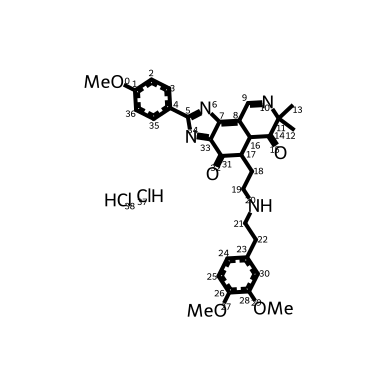 COc1ccc(C2=NC3=C4C=NC(C)(C)C(=O)C4C(CCNCCc4ccc(OC)c(OC)c4)C(=O)C3=N2)cc1.Cl.Cl